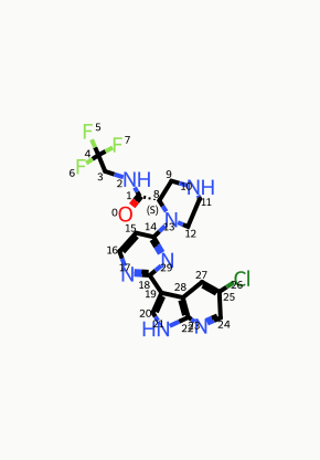 O=C(NCC(F)(F)F)[C@@H]1CNCCN1c1ccnc(-c2c[nH]c3ncc(Cl)cc23)n1